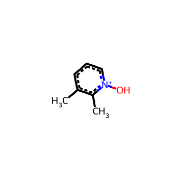 Cc1ccc[n+](O)c1C